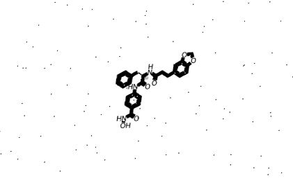 O=C(CCc1ccc2c(c1)OCO2)N[C@@H](Cc1ccccc1)C(=O)Nc1ccc(C(=O)NO)cc1